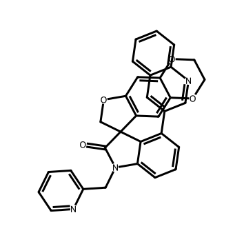 O=C1N(Cc2ccccn2)c2cccc(-c3cnc4ccccc4c3)c2C12COc1cc3c(cc12)OCCO3